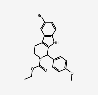 CCOC(=O)N1CCc2c([nH]c3ccc(Br)cc23)C1c1ccc(OC)cc1